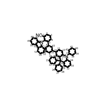 N#Cc1cccc(-c2cccc(-c3ccc4c(c3)C(c3ccccc3)(c3ccccc3)c3ccccc3N4c3ccccc3)c2)c1-n1c2ccccc2c2ccccc21